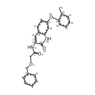 O=C(COCc1ccccc1)N/C(=C/c1ccc(Oc2ccccc2I)cc1)C(=O)O